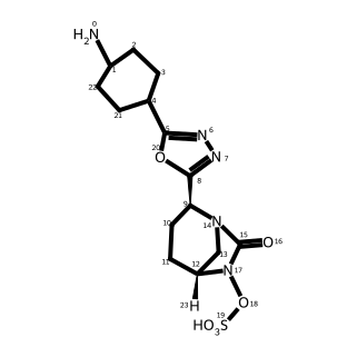 NC1CCC(c2nnc([C@@H]3CC[C@@H]4CN3C(=O)N4OS(=O)(=O)O)o2)CC1